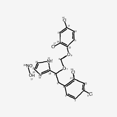 Clc1ccc(CC(OCOc2ccc(Cl)cc2Cl)c2ncc[nH]2)c(Cl)c1.O=[N+]([O-])O